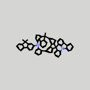 CC1(C)c2ccccc2-c2ccc(N3c4ccccc4-c4ccc5c(c4)-c4cc(ccc4C54c5ccccc5-n5c6ccccc6c6cccc4c65)C4(C)c5ccccc5-c5c3cccc54)cc21